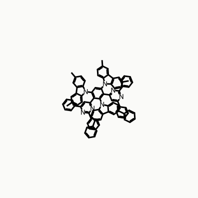 Cc1ccc2c(c1)c1cc(C)ccc1n2-c1cc(-n2c3ccc(C)cc3c3cc(C)ccc32)c(-c2cc(-c3ccccc3)nc(-c3ccccc3)n2)c(-n2c3ccc(-c4ccccc4)cc3c3cc(-c4ccccc4)ccc32)c1-c1cc(-c2ccccc2)nc(-c2ccccc2)n1